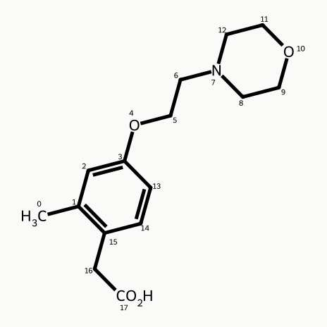 Cc1cc(OCCN2CCOCC2)ccc1CC(=O)O